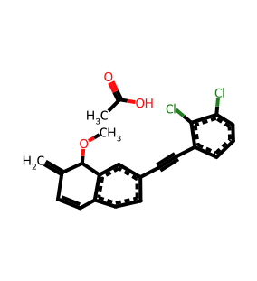 C=C1C=Cc2ccc(C#Cc3cccc(Cl)c3Cl)cc2C1OC.CC(=O)O